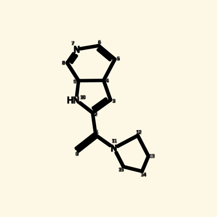 C=C(C1=CC2C=CN=CC2N1)N1CCCC1